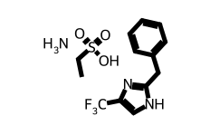 CCS(=O)(=O)O.FC(F)(F)c1c[nH]c(Cc2ccccc2)n1.N